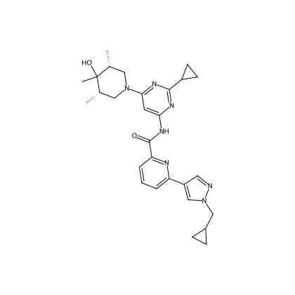 C[C@@H]1CN(c2cc(NC(=O)c3cccc(-c4cnn(CC5CC5)c4)n3)nc(C3CC3)n2)C[C@H](C)C1(C)O